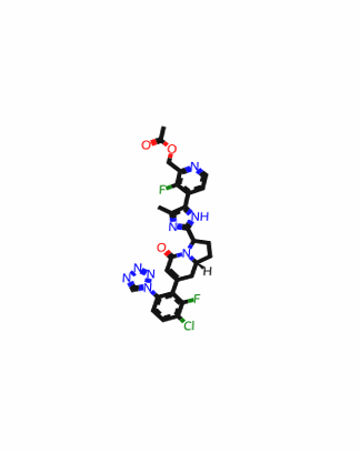 CC(=O)OCc1nccc(-c2[nH]c(C3CC[C@@H]4CC(c5c(-n6cnnn6)ccc(Cl)c5F)=CC(=O)N34)nc2C)c1F